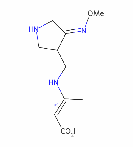 CON=C1CNCC1CN/C(C)=C/C(=O)O